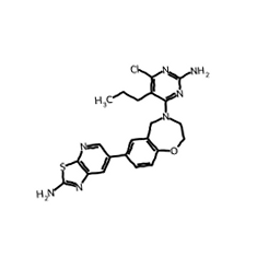 CCCc1c(Cl)nc(N)nc1N1CCOc2ccc(-c3cnc4sc(N)nc4c3)cc2C1